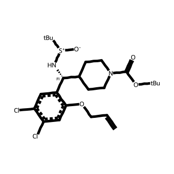 C=CCOc1cc(Cl)c(Cl)cc1[C@H](N[S+]([O-])C(C)(C)C)C1CCN(C(=O)OC(C)(C)C)CC1